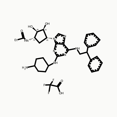 CCC(=O)N[C@H]1C[C@@H](n2cnc3c(NCC(c4ccccc4)c4ccccc4)nc(NC4CCC(N)CC4)nc32)[C@H](O)[C@@H]1O.O=C(O)C(F)(F)F